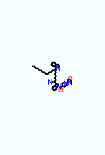 CCCCCCCC/C=C\CCCC(CCCC/C=C(\C#N)c1cn(C(=O)C2CCN(c3cocn3)CC2)c2ccccc12)c1nccc2ccccc12